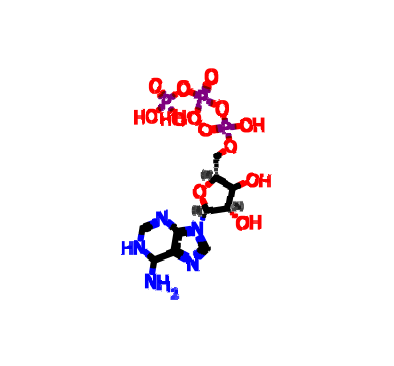 NC1NC=Nc2c1ncn2[C@@H]1O[C@H](COP(=O)(O)OP(=O)(O)OP(=O)(O)O)C(O)[C@@H]1O